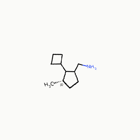 C[C@H]1CCC(CN)C1C1CCC1